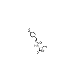 COc1ccc(COC(=O)N[C@@H]2C(=O)N[C@@H]2CI)cc1